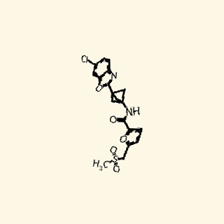 CS(=O)(=O)Cc1ccc(C(=O)NC23CC(c4nc5ccc(Cl)cc5o4)(C2)C3)o1